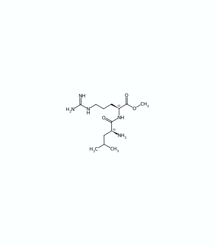 COC(=O)[C@H](CCCNC(=N)N)NC(=O)[C@@H](N)CC(C)C